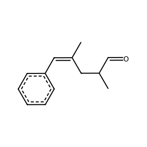 CC(=Cc1ccccc1)CC(C)C=O